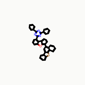 c1ccc(-c2nc(-c3ccccc3)nc(-c3cccc4oc5c(-c6cc7c8ccccc8sc7c7ccccc67)cccc5c34)n2)cc1